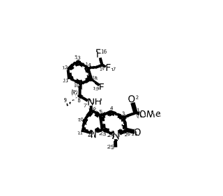 COC(=O)c1cc2c(N[C@H](C)c3cccc(C(F)F)c3F)ccnc2n(C)c1=O